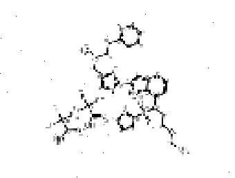 CCOCCN(c1cccc2cc(-c3ncc(CN(C)CCc4ccccn4)s3)[nH]c12)S(=O)(=O)c1cccs1.O=C(O)C(F)(F)F.O=C(O)C(F)(F)F